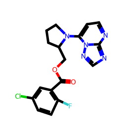 O=C(OCC1CCCN1c1ccnc2ncnn12)c1cc(Cl)ccc1F